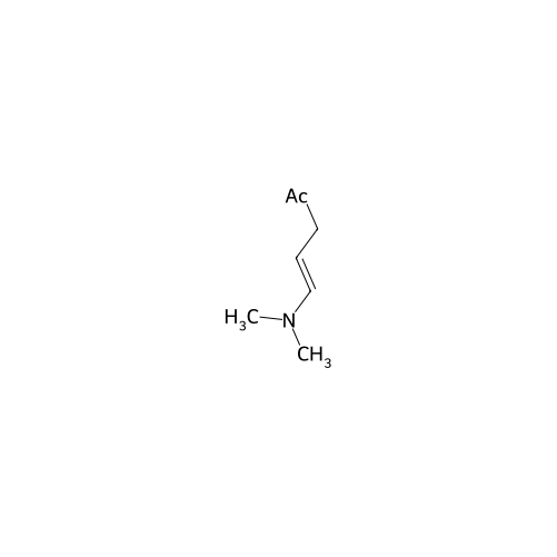 [CH2]C(=O)CC=CN(C)C